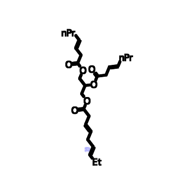 CC/C=C/CC=CCC(=O)OCC(COC(=O)CC=CCCC)OC(=O)CC=CCCC